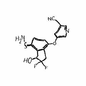 N#Cc1cncc(Oc2ccc(SN)c3c2CC(F)(F)C3O)c1